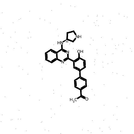 CC(=O)c1ccc(-c2ccc(O)c(-c3nc(N[C@H]4CCNC4)c4ccccc4n3)c2)cc1